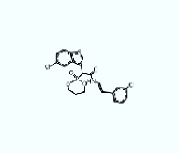 O=C(NC=Cc1cccc(Cl)c1)C(c1csc2ccc(Cl)cc12)P1(=O)OCCCO1